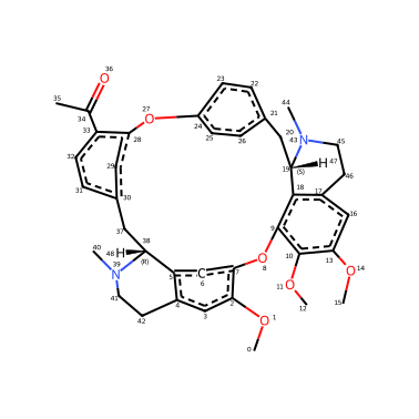 COc1cc2c3cc1Oc1c(OC)c(OC)cc4c1[C@H](Cc1ccc(cc1)Oc1cc(ccc1C(C)=O)C[C@H]3N(C)CC2)N(C)CC4